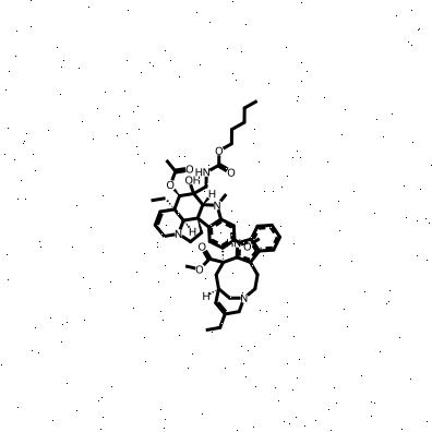 CCCCCOC(=O)NCC1(O)[C@H](OC(C)=O)[C@]2(CC)C=CCN3CC[C@@]4(c5cc([C@@]6(C(=O)OC)C[C@@H]7C=C(CC)CN(CCc8c6[nH]c6ccccc86)C7)c(OC)cc5N(C)[C@@H]14)[C@@H]32